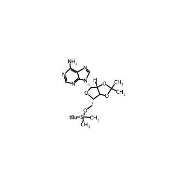 CC1(C)OC2[C@H](CO[Si](C)(C)C(C)(C)C)O[C@H](n3cnc4c(N)ncnc43)[C@@H]2O1